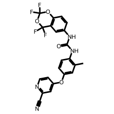 Cc1cc(Oc2ccnc(C#N)c2)ccc1NC(=O)Nc1ccc2c(c1)C(F)(F)OC(F)(F)O2